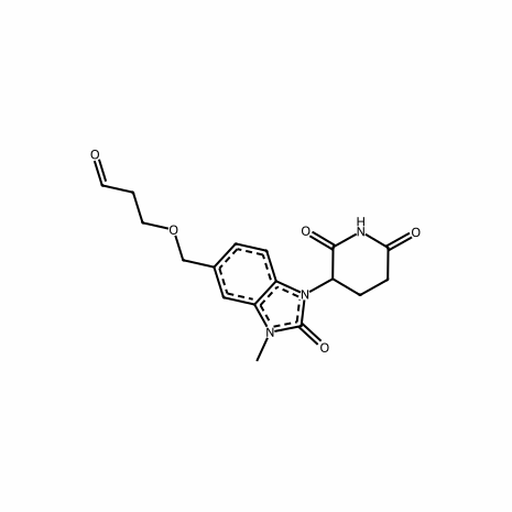 Cn1c(=O)n(C2CCC(=O)NC2=O)c2ccc(COCCC=O)cc21